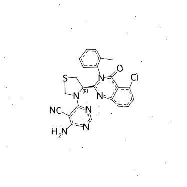 Cc1ccccc1-n1c([C@@H]2CSCN2c2ncnc(N)c2C#N)nc2cccc(Cl)c2c1=O